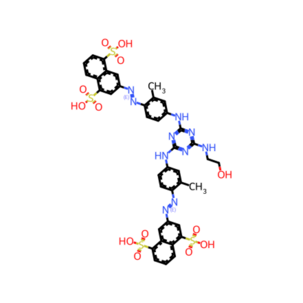 Cc1cc(Nc2nc(NCCO)nc(Nc3ccc(/N=N/c4cc(S(=O)(=O)O)c5cccc(S(=O)(=O)O)c5c4)c(C)c3)n2)ccc1/N=N/c1cc(S(=O)(=O)O)c2cccc(S(=O)(=O)O)c2c1